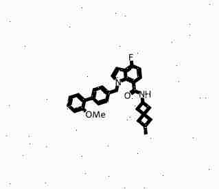 COc1ccccc1-c1ccc(Cn2ccc3c(F)ccc(C(=O)NC4CC5(CC(C)C5)C4)c32)cc1